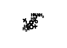 CC(C)(C)CC[C@@H](NC1(N)CCC(C(C)(C)C)CC1)c1ccc(C(=O)NCC(=N)N)cc1